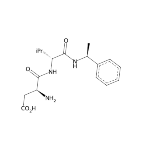 CC(C)[C@@H](NC(=O)[C@@H](N)CC(=O)O)C(=O)N[C@@H](C)c1ccccc1